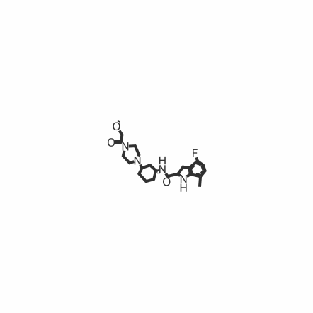 COCC(=O)N1CCN(C2CCC[C@@H](NC(=O)C3Cc4c(F)ccc(C)c4N3)C2)CC1